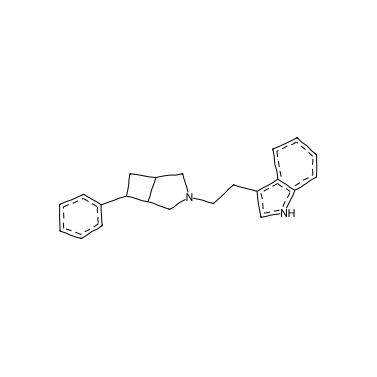 c1ccc(C2CC3CN(CCc4c[nH]c5ccccc45)CC32)cc1